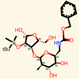 C[C@H]1[C@@H](O[C@H]2[C@@H](O[Si](C)(C)C(C)(C)C)[C@H](O)O[C@@H]2CO)O[C@@H](CNC(=O)OCc2ccccc2)[C@@H](O)[C@@H]1O